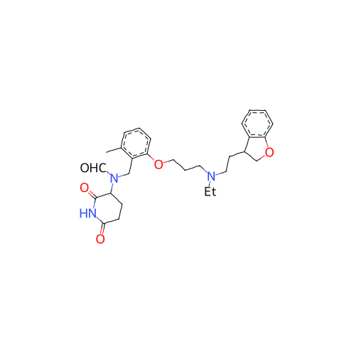 CCN(CCCOc1cccc(C)c1CN(C=O)C1CCC(=O)NC1=O)CCC1COc2ccccc21